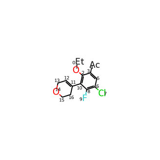 CCOc1c(C(C)=O)cc(Cl)c(F)c1C1=CCOCC1